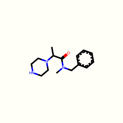 CC(C(=O)N(C)Cc1ccccc1)N1CCNCC1